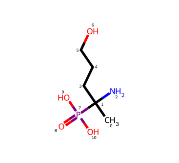 CC(N)(CCCO)P(=O)(O)O